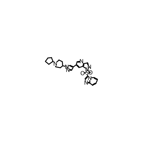 O=S(=O)(c1cnc2ccccn12)n1ncc2ncc(-c3cnn(C4CCN(C5CCCC5)CC4)c3)cc21